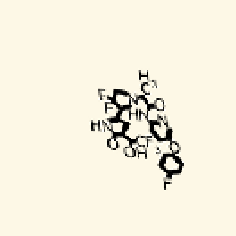 C[C@@H](C(=O)Nc1ccc(Oc2ccc(F)cc2)cn1)N1CCC(F)(F)C(c2c[nH]c(=O)c(C(O)C(F)(F)F)c2)C1